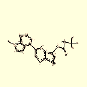 Cn1ncc2c(-c3cnc4[nH]cc(OC(=O)NC(C)(C)C)c4n3)cccc21